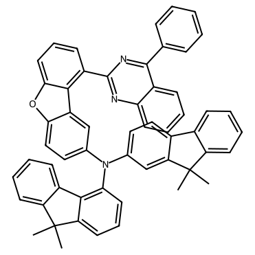 CC1(C)c2ccccc2-c2ccc(N(c3ccc4oc5cccc(-c6nc(-c7ccccc7)c7ccccc7n6)c5c4c3)c3cccc4c3-c3ccccc3C4(C)C)cc21